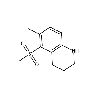 Cc1ccc2c(c1S(C)(=O)=O)CCCN2